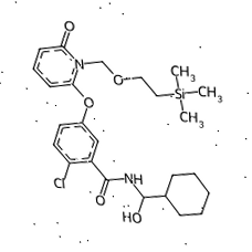 C[Si](C)(C)CCOCn1c(Oc2ccc(Cl)c(C(=O)NC(O)C3CCCCC3)c2)cccc1=O